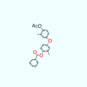 CC(=O)Oc1ccc(Oc2ccc(OC(=O)c3ccccc3)c(C)c2)cc1C